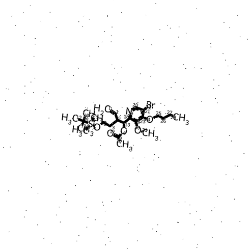 C=CC(CCO[Si](C)(C)C(C)(C)C)C(OC(C)=O)c1ncc(Br)c(OCCCC)c1OC